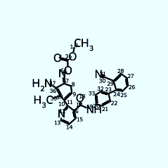 CCOC(=O)ON=C1CC=C(c2ncccc2C(=O)Nc2ccc(-c3ccccc3C#N)cc2)C(C)=C1N